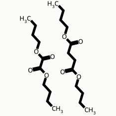 CCCCOC(=O)C(=O)OCCCC.CCCCOC(=O)CCC(=O)OCCCC